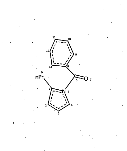 CCCc1cccn1C(=O)c1ccccc1